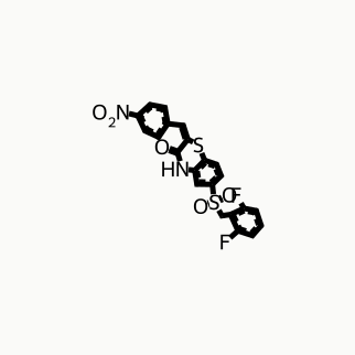 O=C1Nc2cc(S(=O)(=O)Cc3c(F)cccc3F)ccc2S/C1=C/c1ccc([N+](=O)[O-])cc1